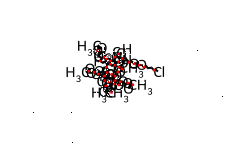 CC(=O)OCOC(=O)CN(CC(=O)OCOC(C)=O)c1ccc(C)cc1OCCOc1cc(-c2c3cc(F)c(=O)c(CN(CCC(=O)NCCOCCOCCCCCCCl)C(C)=O)c-3oc3cc(OCOC(C)=O)c(F)cc23)ccc1N(CC(=O)OCOC(C)=O)CC(=O)OCOC(C)=O